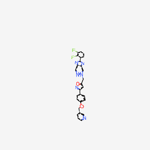 Fc1cccc(-c2nc3cnn(Cc4cc(-c5ccc(OCc6cccnc6)cc5)no4)cc-3n2)c1F